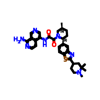 C[C@H]1CC[C@H](c2ccc3sc(C4CCN(C)C(C)(C)C4)nc3c2)N(C(=O)C(=O)Nc2cncc3c(N)nccc23)C1